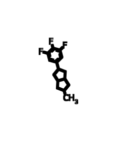 CC1CC2CC(c3cc(F)c(F)c(F)c3)CC2C1